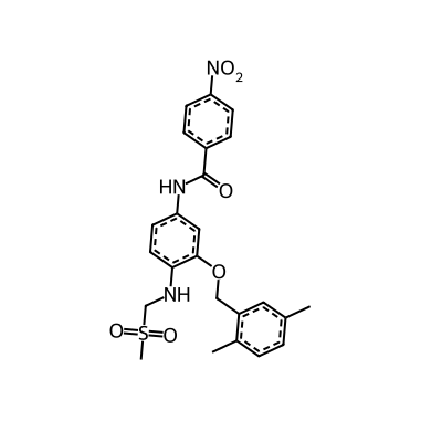 Cc1ccc(C)c(COc2cc(NC(=O)c3ccc([N+](=O)[O-])cc3)ccc2NCS(C)(=O)=O)c1